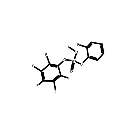 O=[As](OI)(Oc1ccccc1F)Oc1c(F)c(F)c(F)c(F)c1F